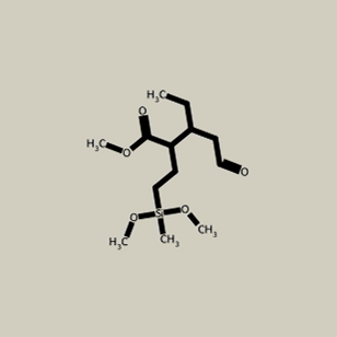 CCC(CC=O)C(CC[Si](C)(OC)OC)C(=O)OC